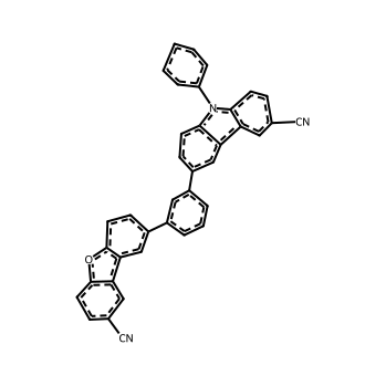 N#Cc1ccc2oc3ccc(-c4cccc(-c5ccc6c(c5)c5cc(C#N)ccc5n6-c5ccccc5)c4)cc3c2c1